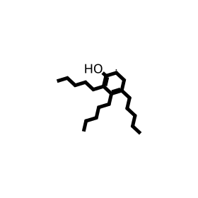 CCCCCC1=C(CCCCC)C(CCCCC)=C(O)[CH]C1